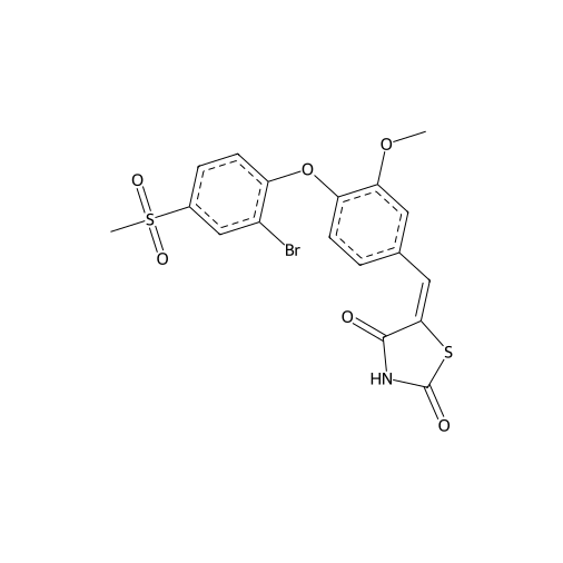 COc1cc(C=C2SC(=O)NC2=O)ccc1Oc1ccc(S(C)(=O)=O)cc1Br